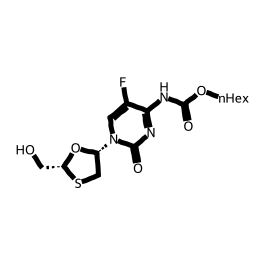 CCCCCCOC(=O)Nc1nc(=O)n([C@@H]2CS[C@H](CO)O2)cc1F